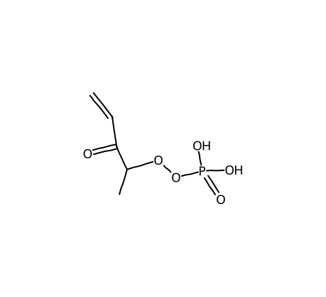 C=CC(=O)C(C)OOP(=O)(O)O